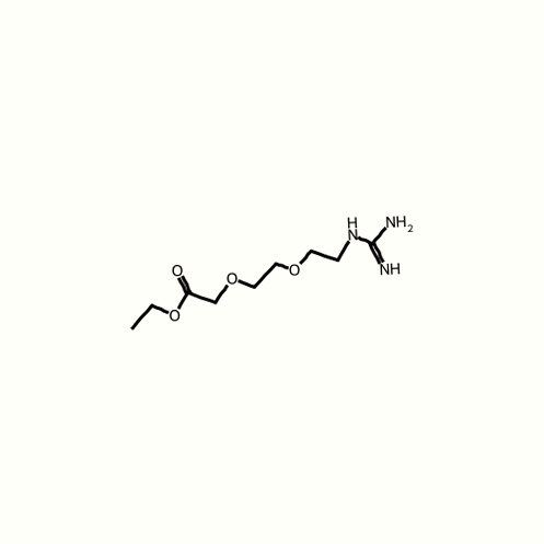 CCOC(=O)COCCOCCNC(=N)N